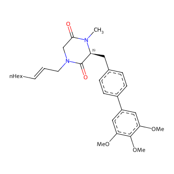 CCCCCCC=CCN1CC(=O)N(C)[C@@H](Cc2ccc(-c3cc(OC)c(OC)c(OC)c3)cc2)C1=O